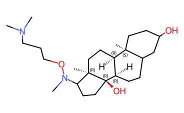 CN(C)CCCON(C)C1CC[C@@]2(O)[C@@H]3CCC4CC(O)CC[C@]4(C)[C@@H]3CC[C@]12C